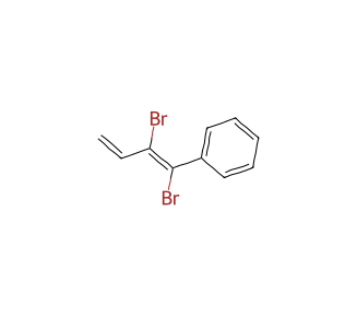 C=CC(Br)=C(Br)c1ccccc1